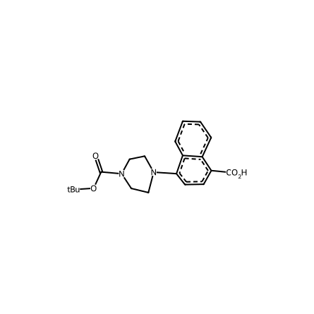 CC(C)(C)OC(=O)N1CCN(c2ccc(C(=O)O)c3ccccc23)CC1